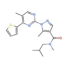 Cc1cnc(-n2ncc(C(=O)N(C)CC(C)C)c2C)nc1-c1cccs1